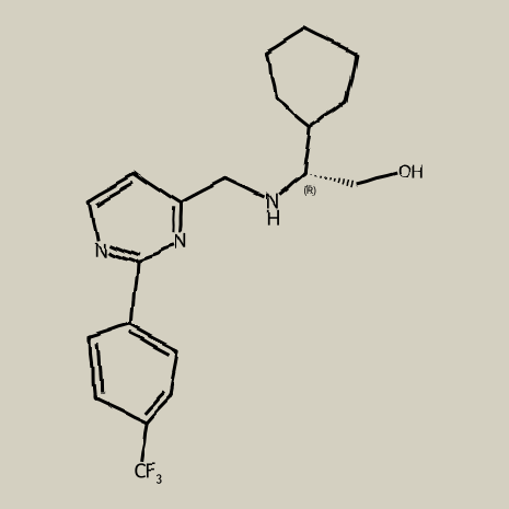 OC[C@H](NCc1ccnc(-c2ccc(C(F)(F)F)cc2)n1)C1CCCCC1